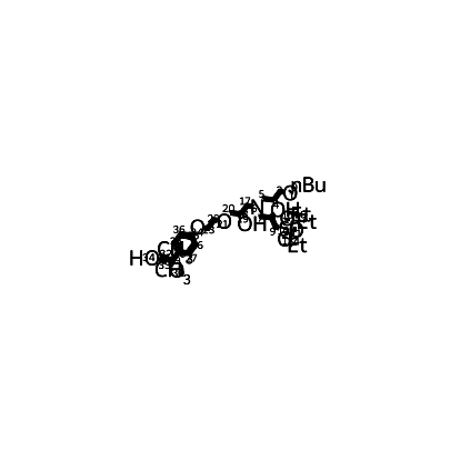 CCCCOCC(O)CN(CCC[Si](OCC)(OCC)OCC)CC(O)COCCOc1ccc(C(=O)C(C)(C)O)cc1